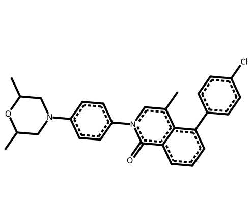 Cc1cn(-c2ccc(N3CC(C)OC(C)C3)cc2)c(=O)c2cccc(-c3ccc(Cl)cc3)c12